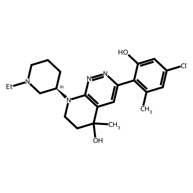 CCN1CCC[C@@H](N2CCC(C)(O)c3cc(-c4c(C)cc(Cl)cc4O)nnc32)C1